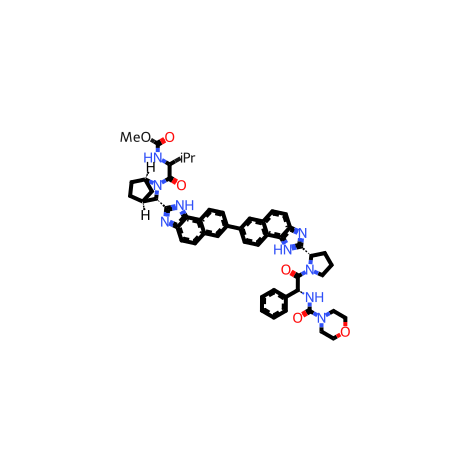 COC(=O)NC(C(=O)N1[C@@H]2CC[C@@H](C2)[C@H]1c1nc2ccc3cc(-c4ccc5c(ccc6nc([C@@H]7CCCN7C(=O)[C@H](NC(=O)N7CCOCC7)c7ccccc7)[nH]c65)c4)ccc3c2[nH]1)C(C)C